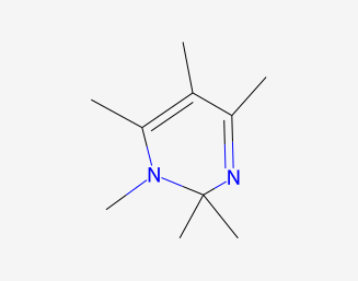 CC1=NC(C)(C)N(C)C(C)=C1C